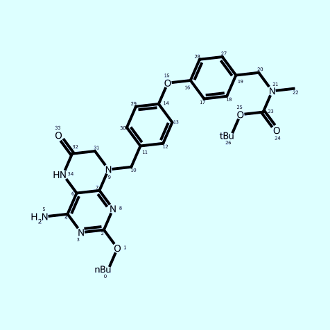 CCCCOc1nc(N)c2c(n1)N(Cc1ccc(Oc3ccc(CN(C)C(=O)OC(C)(C)C)cc3)cc1)CC(=O)N2